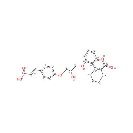 O=C(O)/C=C/c1ccc(OCC(O)COc2cccc3oc(=O)c4c(c23)CCCC4)cc1